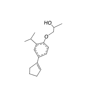 CC(O)COc1ccc(C2=CCCC2)cc1C(C)C